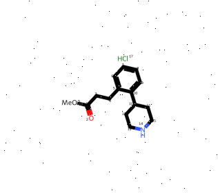 COC(=O)CCc1ccccc1C1CCNCC1.Cl